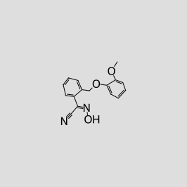 COc1ccccc1OCc1ccccc1C(C#N)=NO